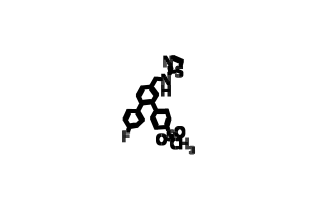 CS(=O)(=O)c1ccc(-c2cc(CNc3nccs3)ccc2-c2ccc(F)cc2)cc1